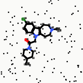 CC1CCN(C(=O)Cn2c3c(c4cc(Cl)ccc42)CCN(C)CC3)CC1